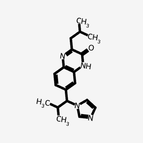 CC(C)Cc1nc2ccc(C(C(C)C)n3ccnc3)cc2[nH]c1=O